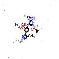 Cc1nc2c(Nc3ccc(-c4nn(C)cc4C)cc3S(C)(=O)=O)cc(NC(=O)[C@H]3C[C@H]3F)nc2[nH]1